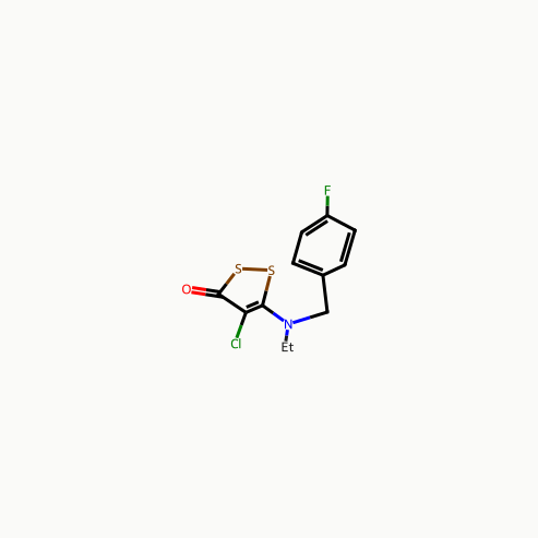 CCN(Cc1ccc(F)cc1)c1ssc(=O)c1Cl